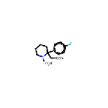 COCC1(c2ccc(F)cc2)CCCCN1C(=O)O